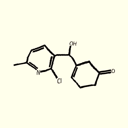 Cc1ccc(C(O)C2=CCCC(=O)C2)c(Cl)n1